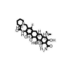 CN(C)[C@@H]1C(O)=C(C(N)=O)C(=O)[C@@]2(O)C(O)=C3C(=O)c4c(O)c5c(c(F)c4C[C@H]3C[C@@H]12)CN1CCCC[C@H]1C(=O)N5